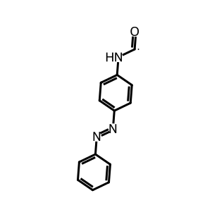 O=[C]Nc1ccc(N=Nc2ccccc2)cc1